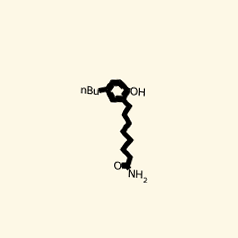 CCCCc1ccc(O)c(CCCCCCCC(N)=O)c1